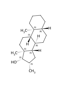 C[C@H]1C[C@H]2[C@@H]3CC[C@H]4CCCC[C@]4(C)[C@H]3CC[C@]2(C)[C@H]1O